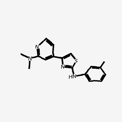 Cc1cccc(Nc2nc(-c3ccnc(N(C)C)c3)cs2)c1